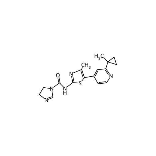 Cc1nc(NC(=O)N2C=NCC2)sc1-c1ccnc(C2(C)CC2)c1